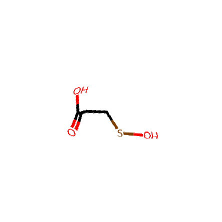 O=C(O)CSO